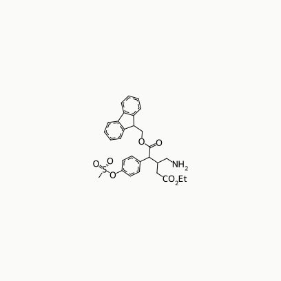 CCOC(=O)CC(CN)C(C(=O)OCC1c2ccccc2-c2ccccc21)c1ccc(OS(C)(=O)=O)cc1